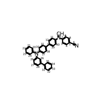 CN(c1ccc(C#N)cc1)c1ccc(-c2ccc(N(c3ccccc3)c3cccc(-c4ccccc4)c3)cc2)cc1